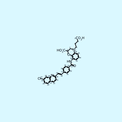 O=C(O)CCCN1CC(C(=O)O)Oc2c(NC(=O)c3ccc(C=Cc4ccc5ccc(Cl)cc5n4)cc3)cccc21